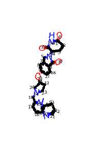 O=C1CCC(N2Cc3cc(O[C@H]4CCN(Cc5ccc6ncccc6n5)C4)ccc3C2=O)C(=O)N1